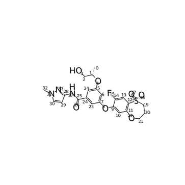 C[C@@H](CO)Oc1cc(Oc2cc3c(cc2F)S(=O)(=O)CCCO3)cc(C(=O)Nc2ccn(C)n2)c1